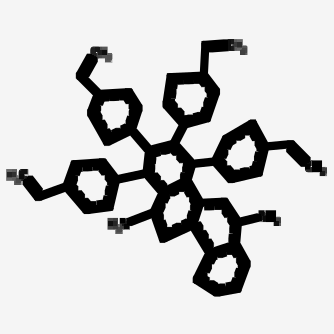 C=Cc1ccc(-c2c(-c3ccc(C=C)cc3)c(-c3ccc(C=C)cc3)c3c(c(N)cc4c5ccccc5c(N)cc43)c2-c2ccc(C=C)cc2)cc1